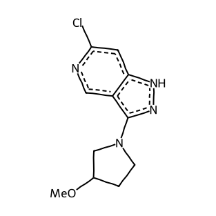 COC1CCN(c2n[nH]c3cc(Cl)ncc23)C1